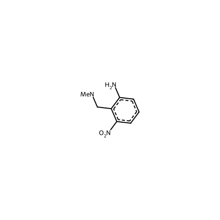 CNCc1c(N)cccc1[N+](=O)[O-]